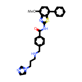 COc1ccc(-c2ccccc2)c2sc(NC(=O)c3ccc(CNCCCn4ccnc4)cc3)nc12